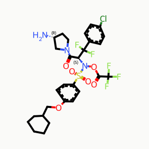 N[C@@H]1CCN(C(=O)[C@H](N(OC(=O)C(F)(F)F)S(=O)(=O)c2ccc(OCC3CCCCC3)cc2)C(F)(F)c2ccc(Cl)cc2)C1